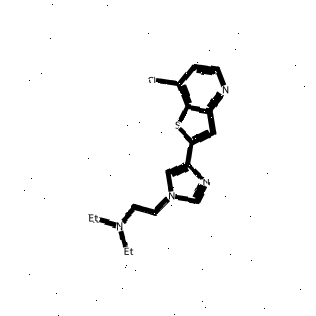 CCN(CC)CCn1cnc(-c2cc3nccc(Cl)c3s2)c1